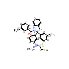 O=C(N[C@](Cc1ccccc1)(c1cccc(N(CCF)C(=O)O)c1)c1cc(F)cc(C(F)(F)F)c1)c1cccc(C(F)(F)F)c1